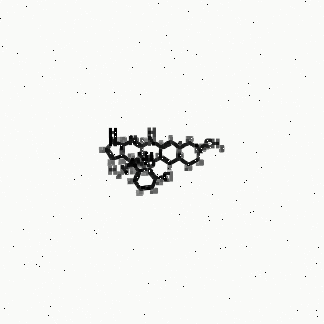 COc1cc2c(cc1NC1=Nc3[nH]ccc3C(N)(c3cccc(Cl)c3)N1)CN(C)CC2